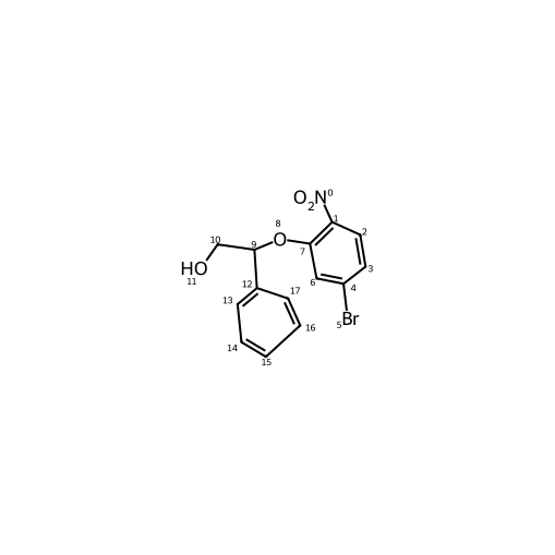 O=[N+]([O-])c1ccc(Br)cc1OC(CO)c1ccccc1